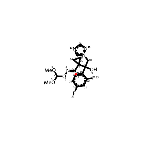 COC(OC)O/N=C(\C(C)C)C1(C(O)(Cn2cncn2)c2ccc(F)cc2F)CC1